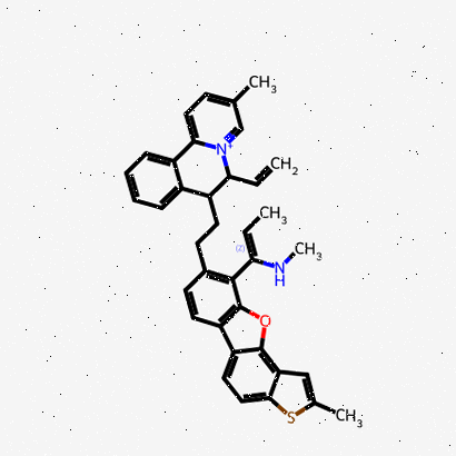 C=CC1C(CCc2ccc3c(oc4c5cc(C)sc5ccc34)c2/C(=C/C)NC)c2ccccc2-c2ccc(C)c[n+]21